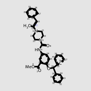 COC(=O)c1cc(NC(=O)N2CCN(/C(C)=C/c3ccccc3)CC2)ccc1OC(c1ccccc1)c1ccccc1